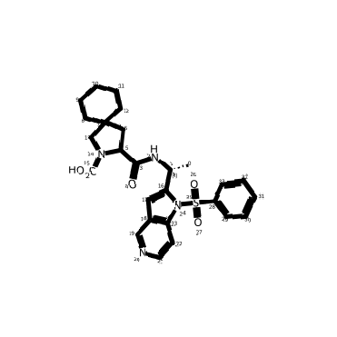 C[C@@H](NC(=O)C1CC2(CCCCC2)CN1C(=O)O)c1cc2cnccc2n1S(=O)(=O)c1ccccc1